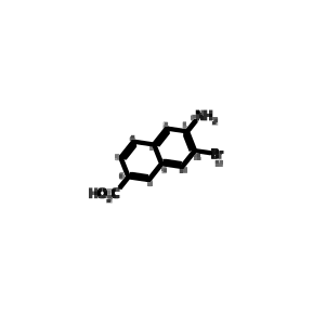 Nc1cc2ccc(C(=O)O)cc2cc1Br